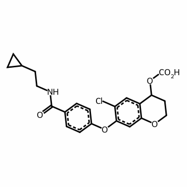 O=C(O)OC1CCOc2cc(Oc3ccc(C(=O)NCCC4CC4)cc3)c(Cl)cc21